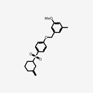 C=C1CC[CH]C(S(=O)(=O)c2ccc(OCc3cc(C)cc(OC)c3)cc2)C1